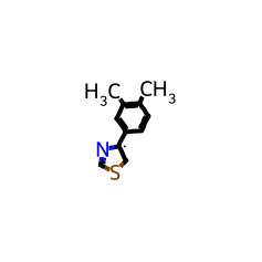 Cc1ccc([C]2CSC=N2)cc1C